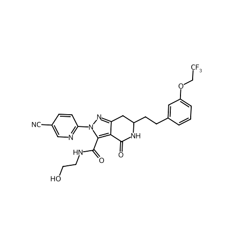 N#Cc1ccc(-n2nc3c(c2C(=O)NCCO)C(=O)NC(CCc2cccc(OCC(F)(F)F)c2)C3)nc1